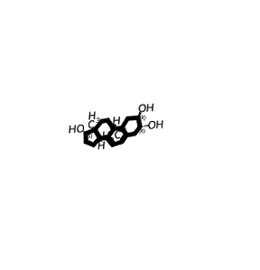 C[C@]12CC[C@H]3C(=CC=C4C[C@@H](O)[C@H](O)C[C@@]43C)[C@@H]1CC[C@@H]2O